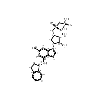 O=P(O)(O)CS(=O)(=O)C[C@H]1C[C@@H](n2cnc3c(N[C@H]4CCc5ccccc54)nc(Cl)nc32)[C@H](O)[C@H]1O